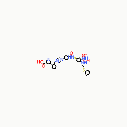 O=C(O)c1cncc(-c2ccccc2CN2CCN(c3ccc(C(=O)NSc4ccc(NCCSc5ccccc5)c([NH+]([O-])O)c4)cc3)CC2)c1